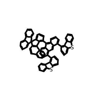 c1ccc2c(c1)-c1ccccc1C21c2cccc(-c3c4cccc(-c5cccc6sc7ccccc7c56)c4cc4c(-c5cccc6sc7ccccc7c56)cccc34)c2-c2c1ccc1ccccc21